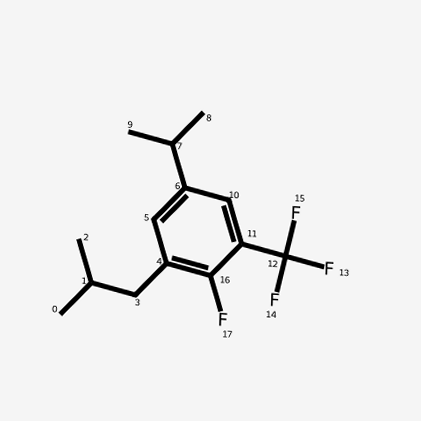 CC(C)Cc1cc(C(C)C)cc(C(F)(F)F)c1F